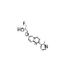 Cc1ncccc1-c1ccc2cc(OCC(O)CF)ccc2n1